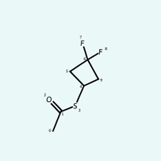 CC(=O)SC1CC(F)(F)C1